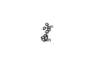 C1=Cc2ccc3cc(-c4ccc5c6c(ccc5c4)NC(c4ccccc4)C6c4ccccc4)cnc3c2NC1